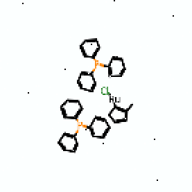 CC1=[C]([Ru][Cl])CC=C1.c1ccc(P(c2ccccc2)c2ccccc2)cc1.c1ccc(P(c2ccccc2)c2ccccc2)cc1